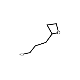 [O]CCCC1CCO1